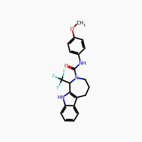 COc1ccc(NC(=O)N2CCCc3c([nH]c4ccccc34)C2C(F)(F)F)cc1